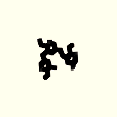 CCc1ncc(Cc2cc(CCc3cc(F)cnc3CC)cnc2CC)cc1C